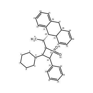 CC(C1C(N2CCCCC2)C(c2ccccc2)S1(=O)=O)[C@@H]1c2ccccc2CC2C=CC=CC21